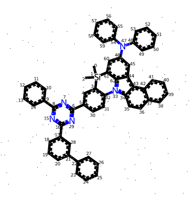 C[Si]1(C)c2cc(-c3nc(-c4ccccc4)nc(-c4cccc(-c5ccccc5)c4)n3)ccc2-n2c3ccc4ccccc4c3c3cc(N(c4ccccc4)c4ccccc4)cc1c32